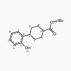 CC(C)(C)OC(=O)N1CCC(c2cccnc2O)CC1